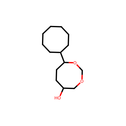 OC1CCC(C2CCCCCCC2)OCOC1